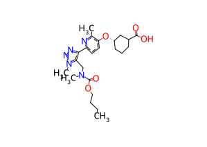 CCCCOC(=O)N(C)Cc1c(-c2ccc(O[C@H]3CCCC(C(=O)O)C3)c(C)n2)nnn1C